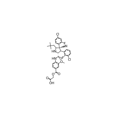 COc1cc(C(=O)OCC(=O)O)ccc1NC(=O)[C@@H]1NC(CC(C)(C)C)[C@](C#N)(c2ccc(Cl)cc2F)C1c1cccc(Cl)c1F